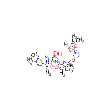 Cc1ncsc1-c1ccc(C(C)NC(=O)[C@@H]2C[C@@H](O)CN2C(=O)C(NC(=O)COC2CCCN(C(=O)OC(C)(C)C)C2)C(C)(C)C)cc1